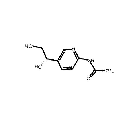 CC(=O)Nc1ccc([C@H](O)CO)cn1